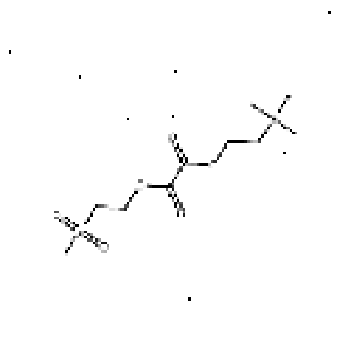 C[Si](C)(C)CCOC(=O)C(=O)OCCS(C)(=O)=O